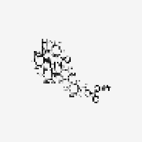 Cc1ccc(C(=O)Nc2ccc(C3CCCN(COC(=O)OC(C)C)C3)cc2)cc1Nc1nccc(-c2cccnc2)n1